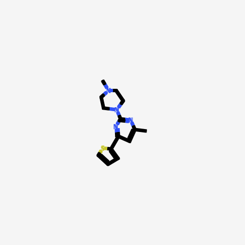 Cc1cc(-c2cccs2)nc(N2CCN(C)CC2)n1